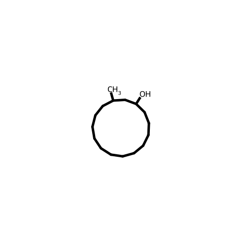 CC1CCCCCCCCCCCCC(O)C1